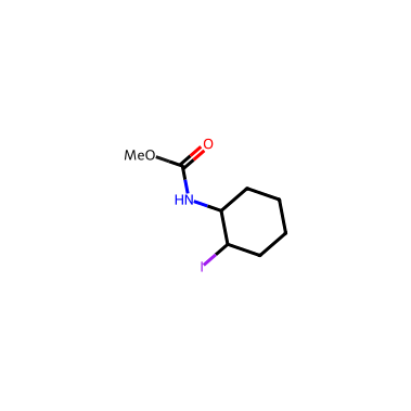 COC(=O)NC1CCCCC1I